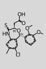 COc1cccc([C@H]2O[C@H](CC(=O)O)C(=S)Nc3cc(C)c(Cl)cc32)c1OC